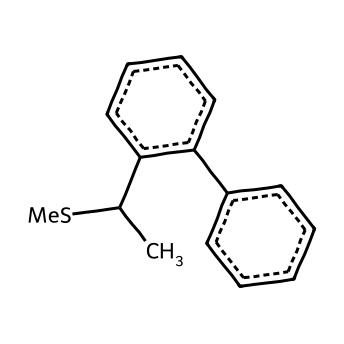 CSC(C)c1ccccc1-c1ccccc1